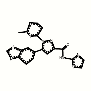 Cc1cccc(-n2nc(C(=O)Nc3nccs3)cc2-c2ccc3ncsc3c2)n1